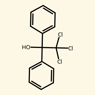 OC(c1ccccc1)(c1ccccc1)C(Cl)(Cl)Cl